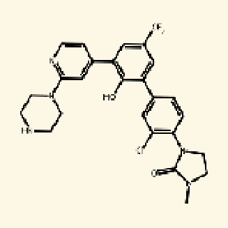 CN1CCN(c2ccc(-c3cc(C(F)(F)F)cc(-c4ccnc(N5CCNCC5)c4)c3O)cc2Cl)C1=O